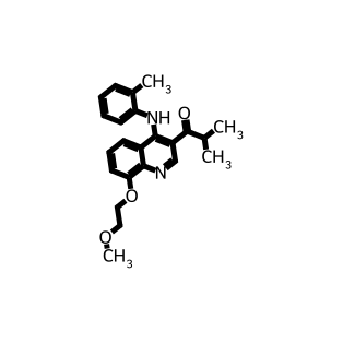 COCCOc1cccc2c(Nc3ccccc3C)c(C(=O)C(C)C)cnc12